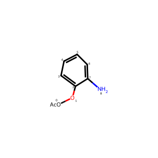 CC(=O)OOc1ccccc1N